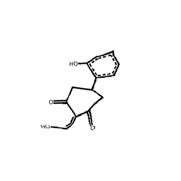 O=C1CC(c2ccccc2O)CC(=O)C1=CO